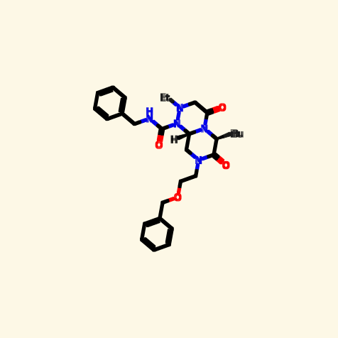 CCC(C)[C@H]1C(=O)N(CCOCc2ccccc2)C[C@H]2N1C(=O)CN(CC)N2C(=O)NCc1ccccc1